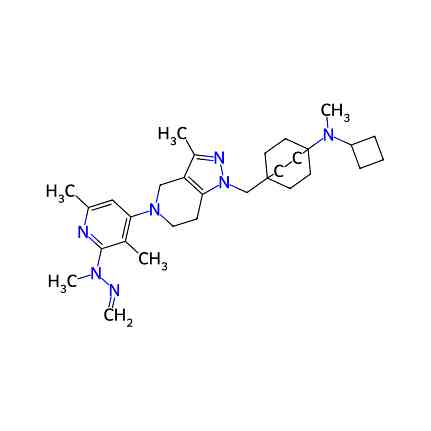 C=NN(C)c1nc(C)cc(N2CCc3c(c(C)nn3CC34CCC(N(C)C5CCC5)(CC3)CC4)C2)c1C